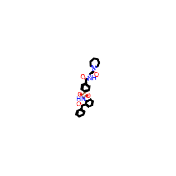 O=C(NCC(=O)N1CCCCCC1)c1ccc(S(=O)(=O)Nc2ccccc2C(=O)c2ccccc2)cc1